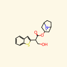 CN1C2CCC1CC(OC(=O)C(CO)c1cc3ccccc3s1)C2